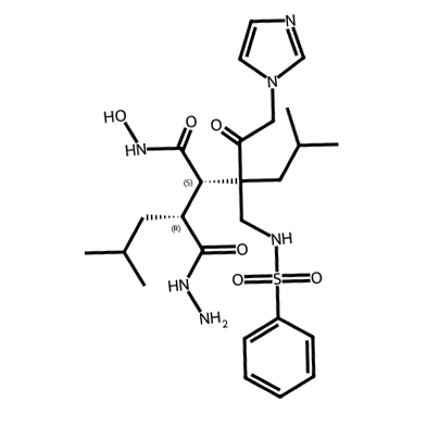 CC(C)C[C@@H](C(=O)NN)[C@H](C(=O)NO)C(CNS(=O)(=O)c1ccccc1)(CC(C)C)C(=O)Cn1ccnc1